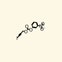 O=C(OCC#CI)Oc1cccc([N+](=O)[O-])c1